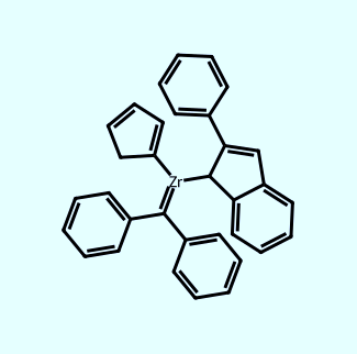 C1=CC[C]([Zr](=[C](c2ccccc2)c2ccccc2)[CH]2C(c3ccccc3)=Cc3ccccc32)=C1